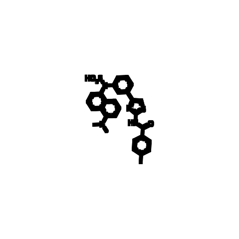 Cc1ccc(C(=O)Nc2nc(-c3cccc(N(c4cccc5c(N(C)C)cccc45)S(=O)(=O)O)c3)cs2)cc1